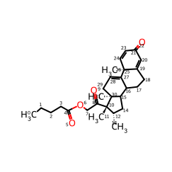 CCCCC(=O)OCC(=O)[C@@]1(C)[C@@H](C)CC2C3CCC4=CC(=O)C=C[C@]4(C)C3=CC[C@@]21C